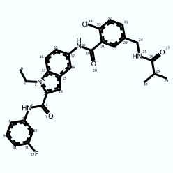 CCn1c(C(=O)Nc2cccc(F)c2)cc2cc(NC(=O)c3cc(CNC(=O)C(C)C)ccc3Cl)ccc21